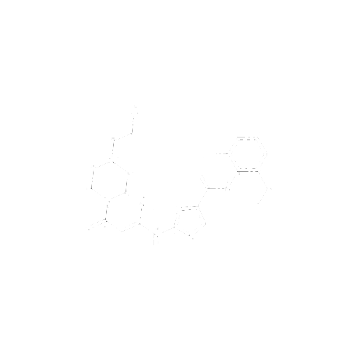 Cc1cccc(CI)c1NC(=O)c1cnc(N/C(N)=C/C(=N)N2CCN(CCO)CC2)s1